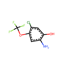 Nc1cc(OC(F)(F)F)c(Cl)cc1O